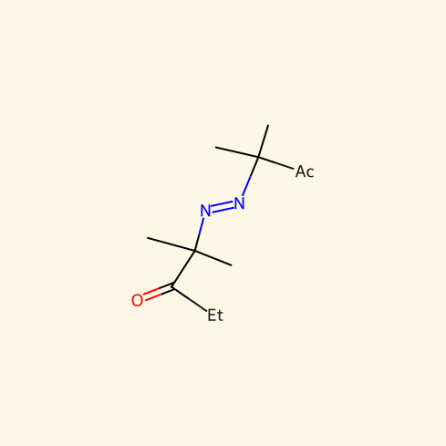 CCC(=O)C(C)(C)N=NC(C)(C)C(C)=O